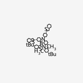 Cc1cc(C(C)(C)C)cc(C)c1N1c2cccc3c2B(c2cc(-c4cc5ccccc5s4)ccc2N3c2ccc(-c3cc4ccccc4s3)cc2)c2c1sc1ccc(C(C)(C)C)cc21